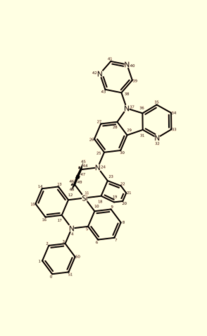 c1ccc(N2c3ccccc3[Si]3(c4ccccc42)c2ccccc2N(c2ccc4c(c2)c2ncccc2n4-c2cncnc2)c2ccccc23)cc1